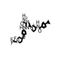 C[C@@H]1[C@H](NC(=O)c2ccc(C3CC3)cc2)CCCN1c1cnc(C(N)=O)c(Nc2ccc(OC3CCN(CC(F)(F)F)CC3)cc2)n1